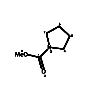 COC(=O)N1CCCC1